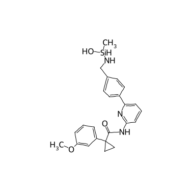 COc1cccc(C2(C(=O)Nc3cccc(-c4ccc(CN[SiH](C)O)cc4)n3)CC2)c1